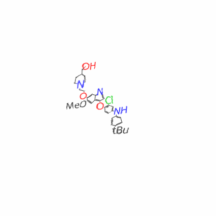 COc1cc2c(Oc3ccc(Nc4ccc(C(C)(C)C)cc4)cc3Cl)ccnc2cc1OCCN1CCC(CO)CC1